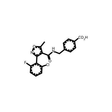 Cc1onc(-c2c(F)cccc2Cl)c1C(=O)NCc1ccc(C(=O)O)cc1